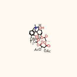 COc1ccc2c3c1O[C@H]1C(OC(=O)[C@H](C)OC(=O)[C@H](OC(C)=O)[C@@H](OC(C)=O)C(=O)OC(=O)C(F)(F)F)=CC[C@@]4(O)[C@@H](C2)N(C)CC[C@]314